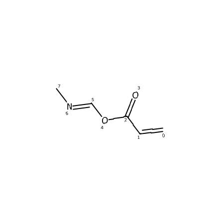 C=CC(=O)OC=NC